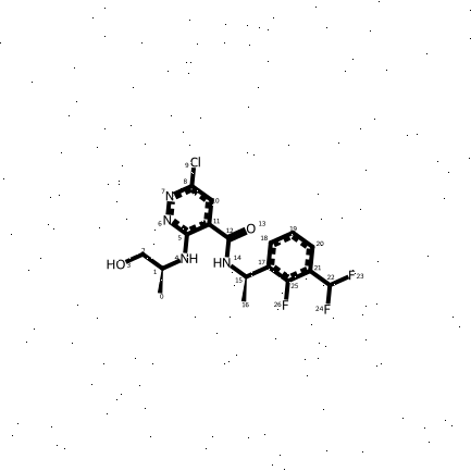 C[C@@H](CO)Nc1nnc(Cl)cc1C(=O)N[C@H](C)c1cccc(C(F)F)c1F